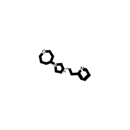 c1ccc(CC[C@@H]2CCN(C3CCCOCC3)C2)nc1